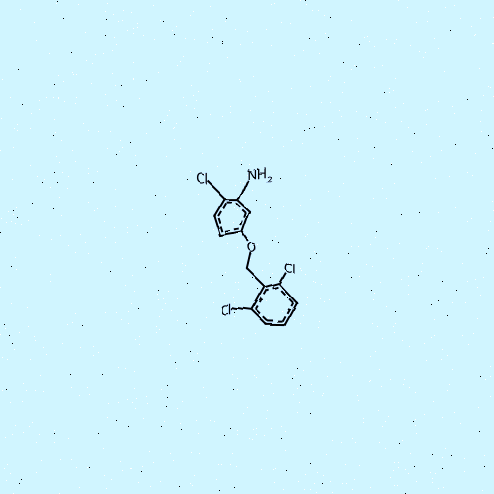 Nc1cc(OCc2c(Cl)cccc2Cl)ccc1Cl